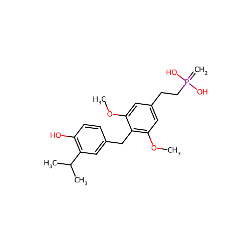 C=P(O)(O)CCc1cc(OC)c(Cc2ccc(O)c(C(C)C)c2)c(OC)c1